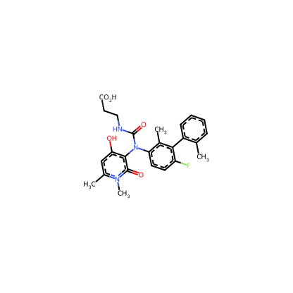 Cc1ccccc1-c1c(F)ccc(N(C(=O)NCCC(=O)O)c2c(O)cc(C)n(C)c2=O)c1C